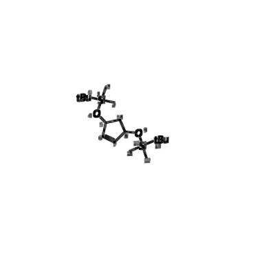 CC(C)(C)[Si](C)(C)OC1C=CC(O[Si](C)(C)C(C)(C)C)C1